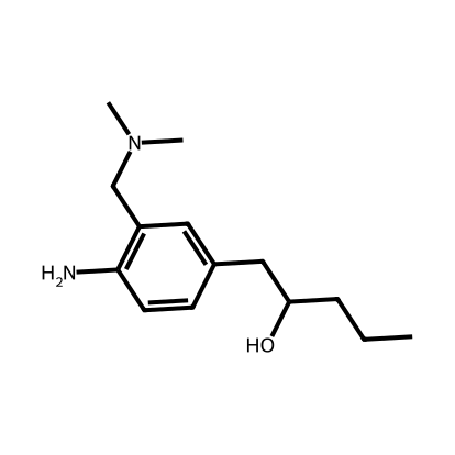 CCCC(O)Cc1ccc(N)c(CN(C)C)c1